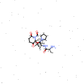 COC(C)(C)[C@]1(C(=O)O)C(=O)CCC(=O)N1C(=O)[C@@H]1CCCN1C(=O)[C@H](C)NC(=O)[C@H](C)N